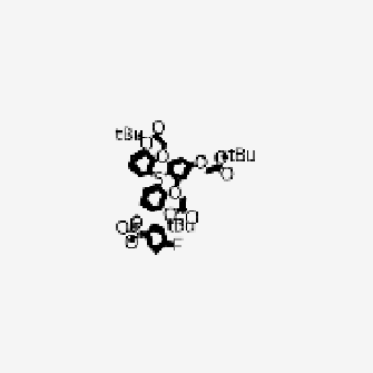 CC(C)(C)OC(=O)COc1cc(OCC(=O)OC(C)(C)C)c([S+](c2ccccc2)c2ccccc2)c(OCC(=O)OC(C)(C)C)c1.O=S(=O)([O-])c1ccc(F)cc1